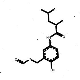 CC(C)CC(C)C(=O)Nc1ccc(O)c(COC=O)c1